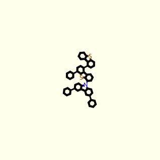 c1ccc(-c2ccc3c(c2)c2cc(-c4ccccc4)ccc2n3-c2cccc3c2sc2c(-c4ccccc4)ccc(-c4cccc5sc6ccccc6c45)c23)cc1